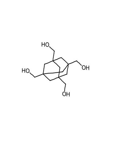 OCC12CC3(CO)CC(CO)(C1)CC(CO)(C2)C3